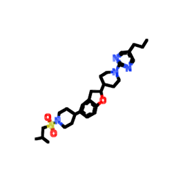 CCCc1cnc(N2CCC(C3Cc4cc(C5CCN(S(=O)(=O)CC(C)C)CC5)ccc4O3)CC2)nc1